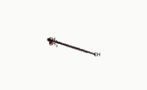 C#CC#CC#CC#CC#CC#CC#CC#CC#CC#CC#CC#CC#CC#CC#CC#CC#CC#CC#CC#CC#CC#CC#CC#CC#CC#CC#CC#CC#CC#CC(C)(CCCC(C)=O)c1ccccc1